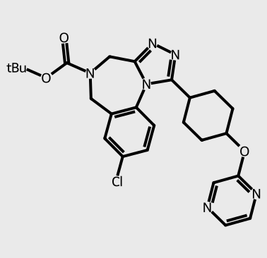 CC(C)(C)OC(=O)N1Cc2cc(Cl)ccc2-n2c(nnc2C2CCC(Oc3cnccn3)CC2)C1